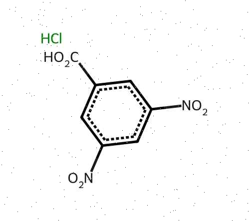 Cl.O=C(O)c1cc([N+](=O)[O-])cc([N+](=O)[O-])c1